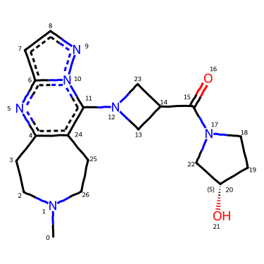 CN1CCc2nc3ccnn3c(N3CC(C(=O)N4CC[C@H](O)C4)C3)c2CC1